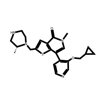 C[C@@H]1CNCCN1Cc1cc2c(=O)n(C)cc(-c3ccncc3OCC3CC3)c2s1